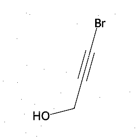 OCC#CBr